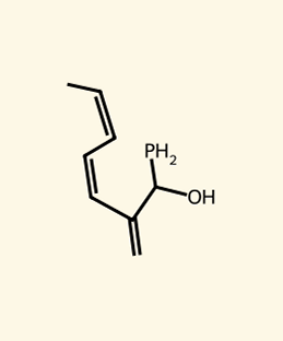 C=C(/C=C\C=C/C)C(O)P